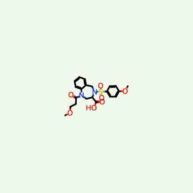 COCCC(=O)N1CC(C(=O)O)N(S(=O)(=O)c2ccc(OC)cc2)Cc2ccccc21